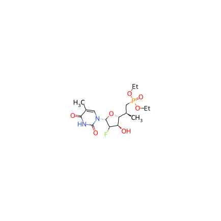 CCOP(=O)(C[C@@H](C)[C@H]1O[C@@H](n2cc(C)c(=O)[nH]c2=O)[C@H](F)[C@@H]1O)OCC